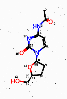 CC(=O)Nc1ccn([C@H]2CC[C@@H](CO)O2)c(=O)n1